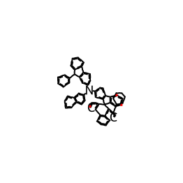 c1ccc(C2c3ccccc3-c3ccc(N(c4ccc5c(c4)C4(c6ccccc6-5)c5ccccc5-c5cccc6ccc(C7CCCCC7)c4c56)c4ccc5ccccc5c4)cc32)cc1